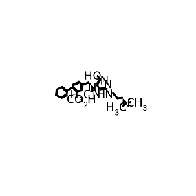 Cc1nc2c(NCCCN(C)C)nnc(O)c2n1Cc1ccc(-c2ccccc2C(=O)O)cc1